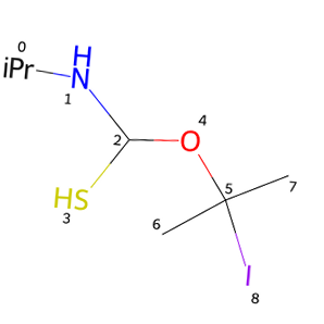 CC(C)NC(S)OC(C)(C)I